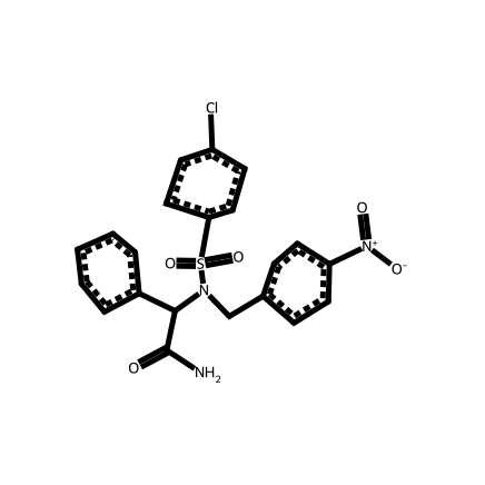 NC(=O)C(c1ccccc1)N(Cc1ccc([N+](=O)[O-])cc1)S(=O)(=O)c1ccc(Cl)cc1